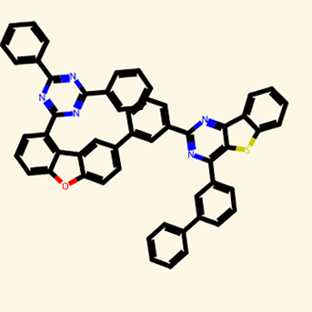 c1ccc(-c2cccc(-c3nc(-c4cccc(-c5ccc6oc7cccc(-c8nc(-c9ccccc9)nc(-c9ccccc9)n8)c7c6c5)c4)nc4c3sc3ccccc34)c2)cc1